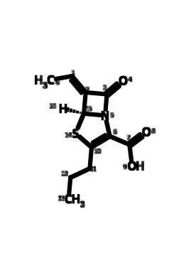 C/C=C1/C(=O)N2C(C(=O)O)=C(CCC)S[C@@H]12